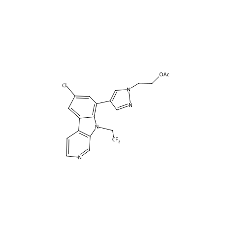 CC(=O)OCCn1cc(-c2cc(Cl)cc3c4ccncc4n(CC(F)(F)F)c23)cn1